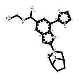 O=C(O)N1C2CCC1CN(c1nc3cc(C(OCC(F)(F)F)C(F)(F)F)cc(-c4nccs4)c3o1)C2